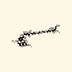 CN(Cc1cnc2nc(N)nc(N)c2n1)c1ccc(C(=O)NC(CCC(=O)NCCCOCCOCCOCCCNC(=O)C(C)(C)CCO)C(=O)O)cc1